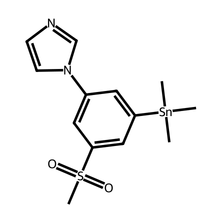 CS(=O)(=O)c1cc(-n2ccnc2)c[c]([Sn]([CH3])([CH3])[CH3])c1